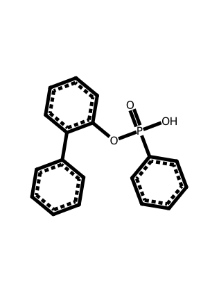 O=P(O)(Oc1ccccc1-c1ccccc1)c1ccccc1